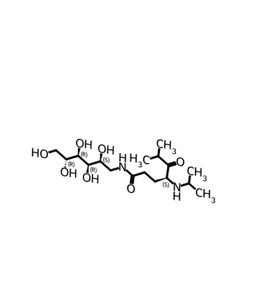 CC(C)N[C@@H](CCC(=O)NC[C@H](O)[C@@H](O)[C@H](O)[C@H](O)CO)C(=O)C(C)C